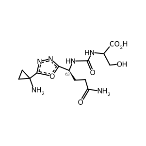 NC(=O)CC[C@H](NC(=O)NC(CO)C(=O)O)c1nnc(C2(N)CC2)o1